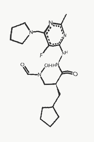 Cc1nc(NNC(=O)[C@@H](CC2CCCC2)CN(O)C=O)c(F)c(N2CCCC2)n1